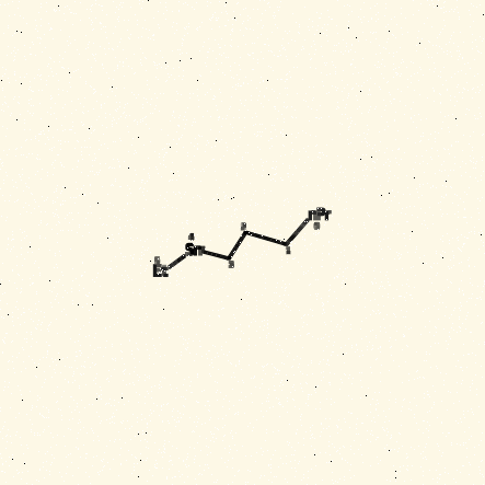 CCCCC[CH2][Sn][CH2]C